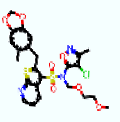 COCCOCN(c1onc(C)c1Cl)S(=O)(=O)c1c(Cc2cc3c(cc2C)OCO3)sc2ncccc12